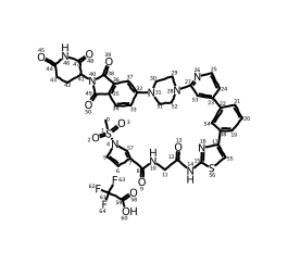 CS(=O)(=O)n1ccc(C(=O)NCC(=O)Nc2nc(-c3cccc(-c4ccnc(N5CCN(c6ccc7c(c6)C(=O)N(C6CCC(=O)NC6=O)C7=O)CC5)c4)c3)cs2)c1.O=C(O)C(F)(F)F